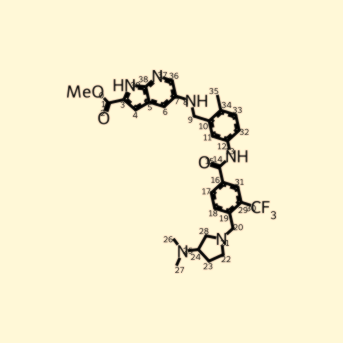 COC(=O)c1cc2cc(NCc3cc(NC(=O)c4ccc(CN5CCC(N(C)C)C5)c(C(F)(F)F)c4)ccc3C)cnc2[nH]1